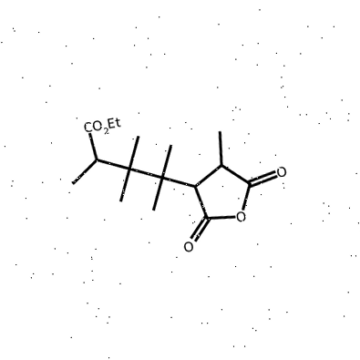 CCOC(=O)C(C)C(C)(C)C(C)(C)C1C(=O)OC(=O)C1C